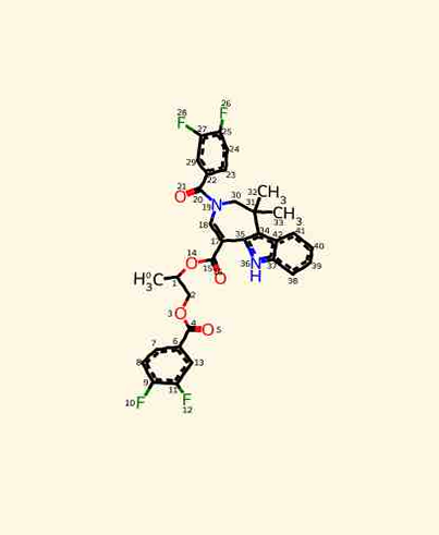 CC(COC(=O)c1ccc(F)c(F)c1)OC(=O)C1=CN(C(=O)c2ccc(F)c(F)c2)CC(C)(C)c2c1[nH]c1ccccc21